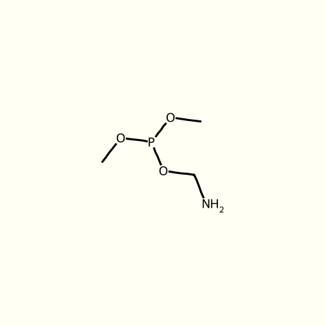 COP(OC)OCN